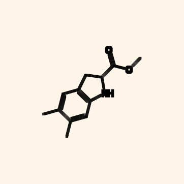 COC(=O)C1Cc2cc(C)c(C)cc2N1